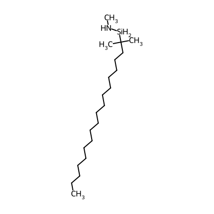 CCCCCCCCCCCCCCCCCC(C)(C)[SiH2]NC